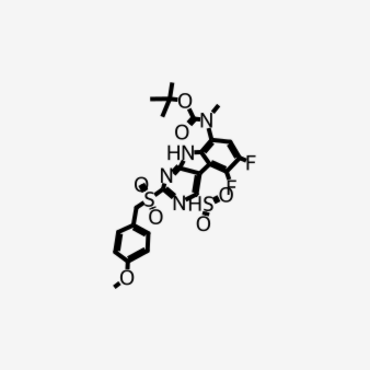 COc1ccc(CS(=O)(=O)c2nc([SH](=O)=O)c3c(n2)[nH]c2c(N(C)C(=O)OC(C)(C)C)cc(F)c(F)c23)cc1